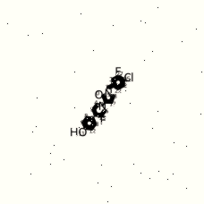 O=C1[C@H](N2CC[C@@H](c3ccc(O)cc3)[C@H](F)C2)CCN1Cc1ccc(Cl)c(F)c1